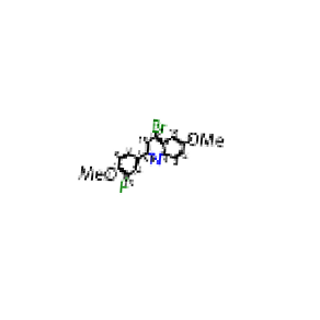 COc1ccc2nc(-c3ccc(OC)c(F)c3)cc(Br)c2c1